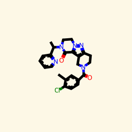 Cc1cc(C(=O)N2CCc3nn4c(c3C2)C(=O)N(C(C)c2ccccn2)CC4)ccc1Cl